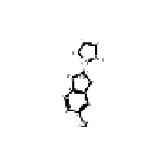 Brc1ccc2c(c1)C[C@@H](N1CCCS1)C2